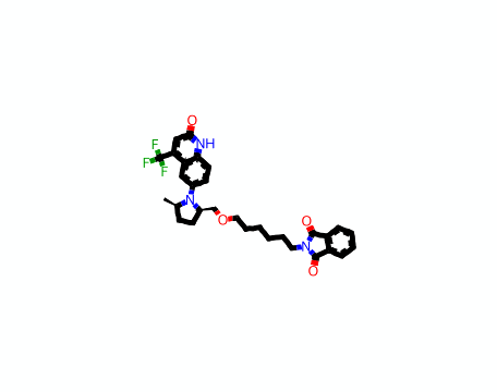 C[C@@H]1CC[C@H](COCCCCCCN2C(=O)c3ccccc3C2=O)N1c1ccc2[nH]c(=O)cc(C(F)(F)F)c2c1